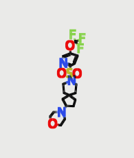 O=S(=O)(c1ccc(OC(F)(F)F)cn1)N1CCC2(CCC(N3CCOCC3)C2)CC1